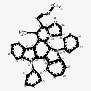 C=N/C=C\c1c(C)c2c3c4ccccc4n(-c4ccccc4)c3c3c4ccccc4n(-c4ccccc4)c3c2n2ccnc12